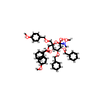 COc1ccc(COCC2(COCc3ccc(OC)cc3)OC(O)(N(C)OC)[C@H](OCc3ccccc3)[C@@H](OCc3ccccc3)[C@@H]2OCc2ccccc2)cc1